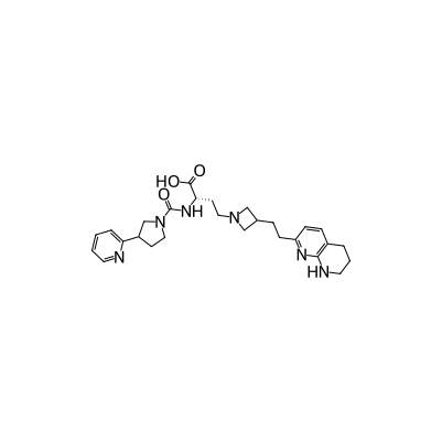 O=C(O)[C@H](CCN1CC(CCc2ccc3c(n2)NCCC3)C1)NC(=O)N1CCC(c2ccccn2)C1